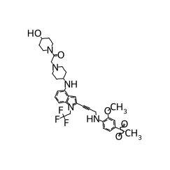 COc1cc(S(C)(=O)=O)ccc1NCC#Cc1cc2c(NC3CCN(CC(=O)N4CCC(O)CC4)CC3)cccc2n1CC(F)(F)F